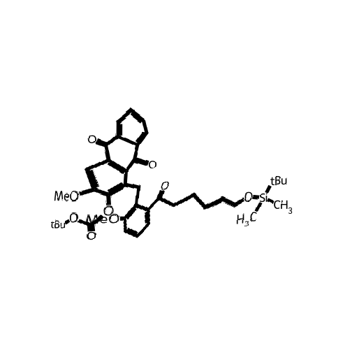 COc1cccc(C(=O)CCCCCO[Si](C)(C)C(C)(C)C)c1Cc1c(OC(=O)OC(C)(C)C)c(OC)cc2c1C(=O)c1ccccc1C2=O